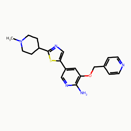 CN1CCC(c2ncc(-c3cnc(N)c(OCc4ccncc4)c3)s2)CC1